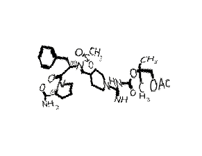 CC(=O)OCC(C)(C)OC(=O)NC(=N)N1CCC(CN([C@H](Cc2ccccc2)C(=O)N2CCC[C@H]2C(N)=O)S(C)(=O)=O)CC1